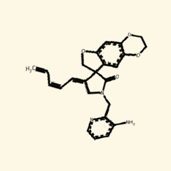 C=C/C=C\C=C1/CN(Cc2ncccc2N)C(=O)C12COc1cc3c(cc12)OCCO3